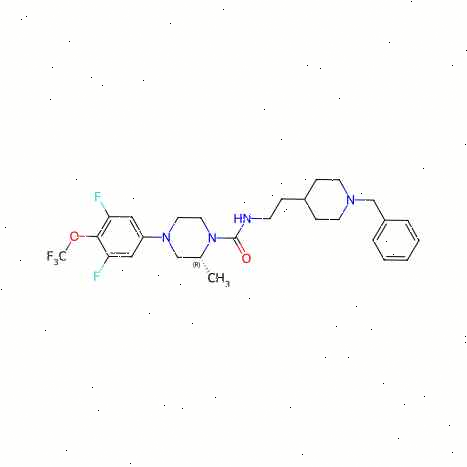 C[C@@H]1CN(c2cc(F)c(OC(F)(F)F)c(F)c2)CCN1C(=O)NCCC1CCN(Cc2ccccc2)CC1